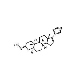 C[C@]12CCC(=NO)C[C@@H]1CC[C@@H]1[C@@H]2CC[C@]2(C)C(n3ccnc3)=CC[C@@H]12